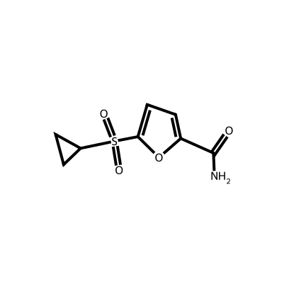 NC(=O)c1ccc(S(=O)(=O)C2CC2)o1